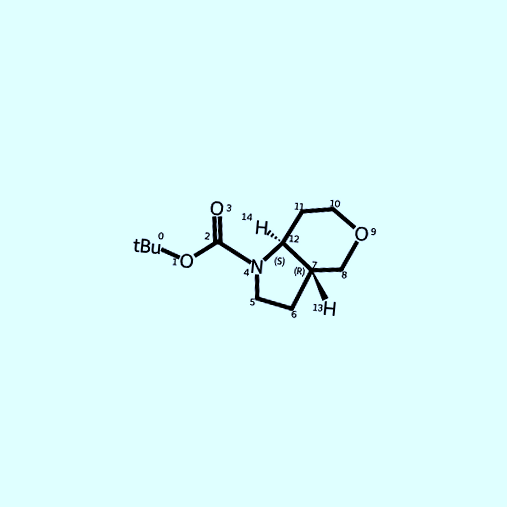 CC(C)(C)OC(=O)N1CC[C@H]2COCC[C@@H]21